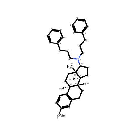 COc1ccc2c(c1)CC[C@@H]1[C@@H]2CC[C@]2(C)[C@@H](N(CCCc3ccccc3)CCCc3ccccc3)CC[C@@H]12